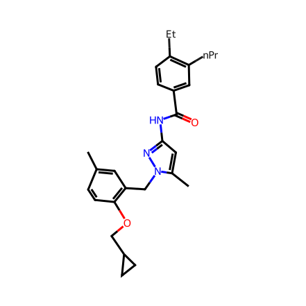 CCCc1cc(C(=O)Nc2cc(C)n(Cc3cc(C)ccc3OCC3CC3)n2)ccc1CC